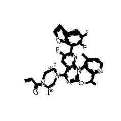 C=CC(=O)N1C[C@H](C)N(c2nc(=O)n(-c3c(C)ccnc3C(C)C)c3nc(-c4c(F)c(F)cc5ccoc45)c(F)cc23)C[C@H]1C